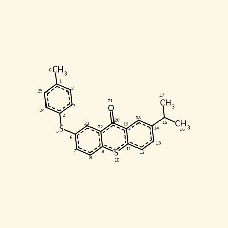 Cc1ccc(Sc2ccc3sc4ccc(C(C)C)cc4c(=O)c3c2)cc1